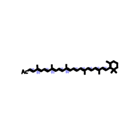 CC(=O)/C=C/C(C)=C/C=C/C(C)=C/C=C/C(C)=C/C=C/C=C(C)/C=C/C=C(C)/C=C/C1=C(C)CCCC1(C)C